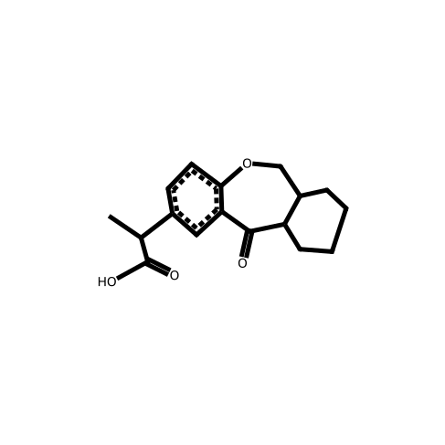 CC(C(=O)O)c1ccc2c(c1)C(=O)C1CCCCC1CO2